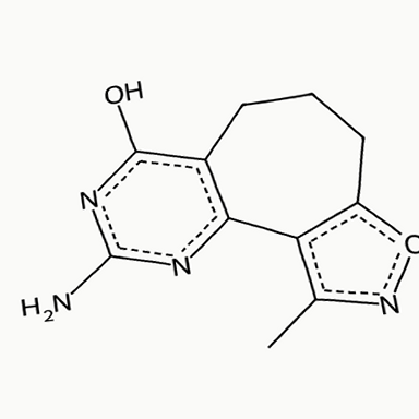 Cc1noc2c1-c1nc(N)nc(O)c1CCC2